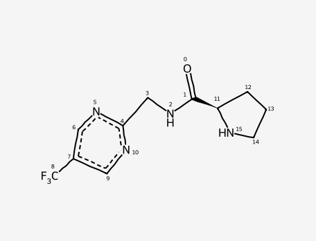 O=C(NCc1ncc(C(F)(F)F)cn1)[C@H]1CCCN1